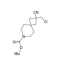 CC(C)(C)OC(=O)N1CCC2(CC1)CC(C#N)(CCl)C2